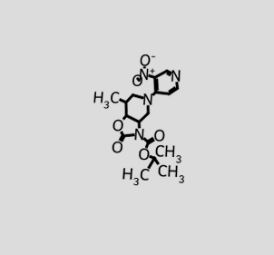 CC1CN(c2ccncc2[N+](=O)[O-])CC2C1OC(=O)N2C(=O)OC(C)(C)C